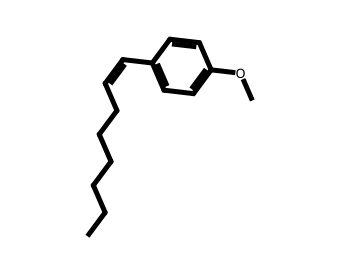 CCCCCC/C=C\c1ccc(OC)cc1